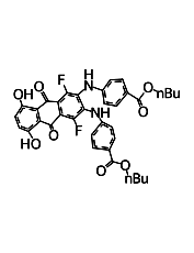 CCCCOC(=O)c1ccc(Nc2c(F)c3c(c(F)c2Nc2ccc(C(=O)OCCCC)cc2)C(=O)c2c(O)ccc(O)c2C3=O)cc1